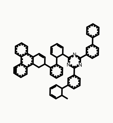 CC1C=CC=CC1c1cccc(-c2nc(-c3cccc(-c4ccccc4)c3)nc(C3C=CC=CC3c3ccccc3C3C=Cc4c(c5ccc#cc5c5ccccc45)C3)n2)c1